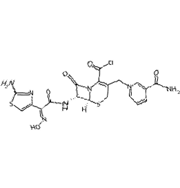 NC(=O)c1ccc[n+](CC2=C(C(=O)Cl)N3C(=O)[C@@H](NC(=O)C(=NO)c4csc(N)n4)[C@@H]3SC2)c1